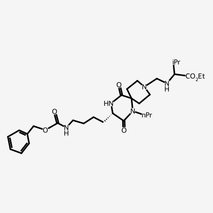 CCCN1C(=O)[C@H](CCCCNC(=O)OCc2ccccc2)NC(=O)C12CCN(CNC(C(=O)OCC)C(C)C)CC2